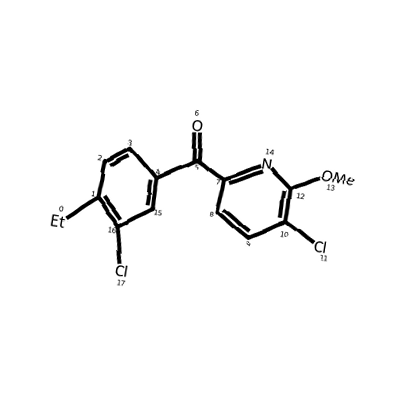 CCc1ccc(C(=O)c2ccc(Cl)c(OC)n2)cc1Cl